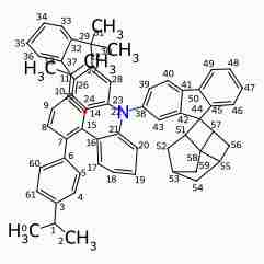 CC(C)c1ccc(-c2ccc(C(C)C)cc2-c2ccccc2N(c2ccc3c(c2)C(C)(C)c2ccccc2-3)c2ccc3c(c2)C2(c4ccccc4-3)C3CC4CC5CC2C53C4)cc1